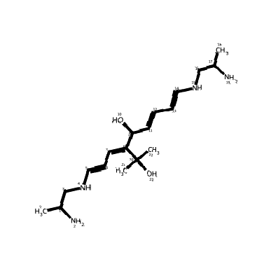 CC(N)CN/C=C/C=C(/C(O)/C=C/C=C/NCC(C)N)C(C)(C)O